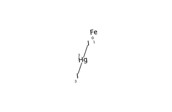 [Fe].[I][Hg][I]